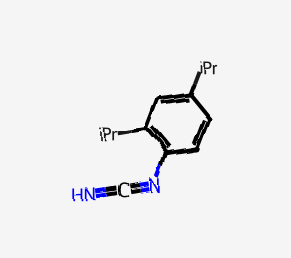 CC(C)c1ccc(N=C=N)c(C(C)C)c1